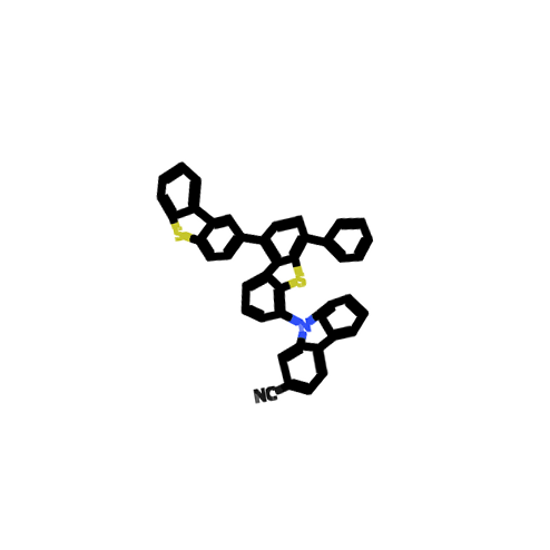 N#Cc1ccc2c3ccccc3n(-c3cccc4c3sc3c(-c5ccccc5)ccc(-c5ccc6sc7ccccc7c6c5)c34)c2c1